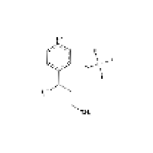 CCCC(C)c1cc[nH+]cc1.F[B-](F)(F)F